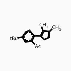 CC(=O)c1cc(C(C)(C)C)ccc1C1=C(C)C(C)=CC1